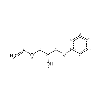 C=COCC(O)COc1ccccc1